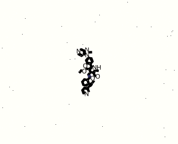 CCOC(=O)C1=C(c2ccc(-n3c(C)nc4cnccc43)cc2)NC(C)=C(C(=O)OCC#Cc2cccnc2)C1/C=C/C1CCCCC1